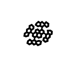 c1ccc2c(-c3cc(-c4c5ccccc5cc5ccccc45)c4ccc5c(-c6c7ccccc7cc7ccccc67)cc(-c6c7ccccc7cc7ccccc67)c6ccc3c4c65)c3ccccc3cc2c1